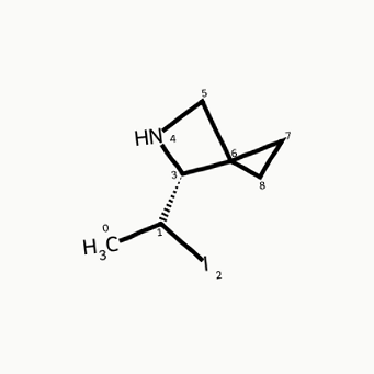 CC(I)[C@@H]1NCC12CC2